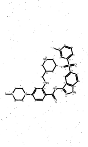 CN1CCN(c2ccc(C(=O)Nc3n[nH]c4ccc(S(=O)(=O)c5cccc(F)c5)cc34)c(NCC3CCCNC3)c2)CC1